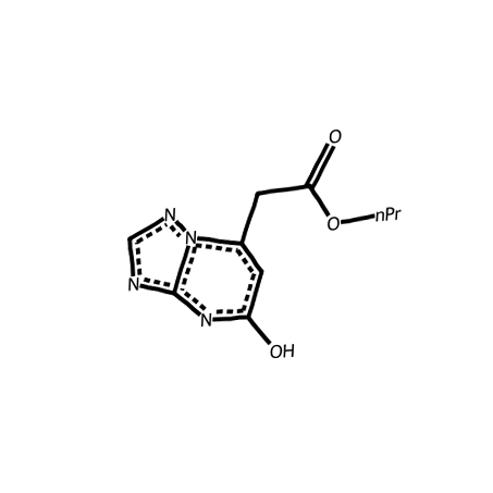 CCCOC(=O)Cc1cc(O)nc2ncnn12